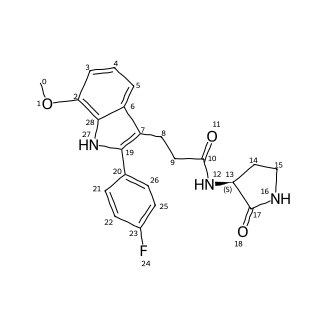 COc1cccc2c(CCC(=O)N[C@H]3CCNC3=O)c(-c3ccc(F)cc3)[nH]c12